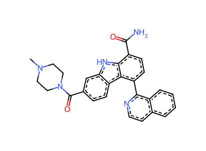 CN1CCN(C(=O)c2ccc3c(c2)[nH]c2c(C(N)=O)ccc(-c4nccc5ccccc45)c23)CC1